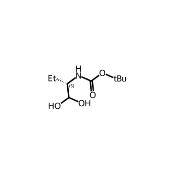 CC[C@H](NC(=O)OC(C)(C)C)C(O)O